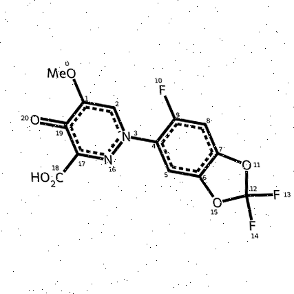 COc1cn(-c2cc3c(cc2F)OC(F)(F)O3)nc(C(=O)O)c1=O